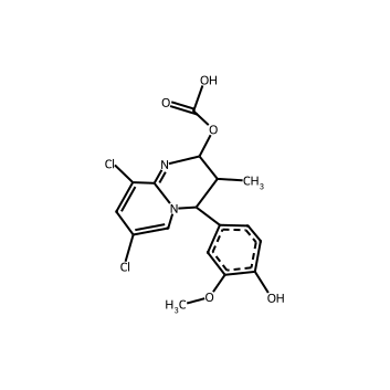 COc1cc(C2C(C)C(OC(=O)O)N=C3C(Cl)=CC(Cl)=CN32)ccc1O